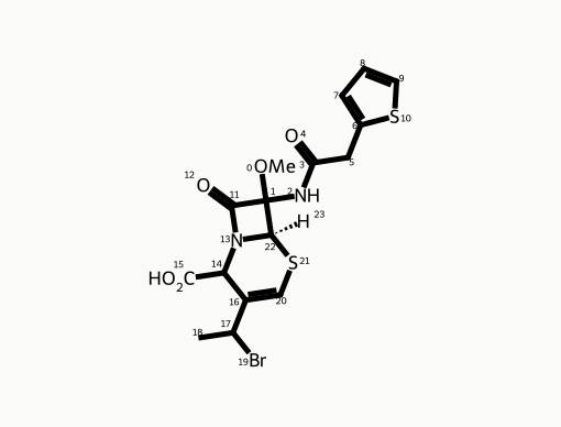 COC1(NC(=O)Cc2cccs2)C(=O)N2C(C(=O)O)C(C(C)Br)=CS[C@@H]21